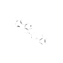 Cc1nnc2sc3c(NC4CCN(c5ncc(Cl)cc5F)CC4)ncnc3c2c1C